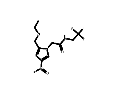 CCOCc1nc([N+](=O)[O-])cn1CC(=O)NCC(F)(F)F